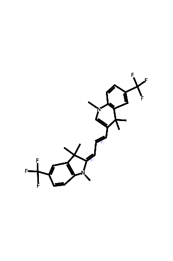 CN1C=C(/C=C/C=C2/N(C)c3ccc(C(F)(F)F)cc3C2(C)C)C(C)(C)c2cc(C(F)(F)F)ccc21